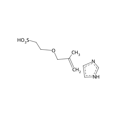 C=C(C)COCCS(=O)(=O)O.c1c[nH]cn1